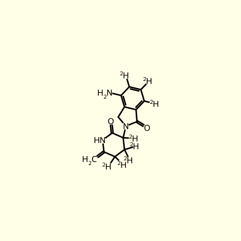 [2H]c1c([2H])c(N)c2c(c1[2H])C(=O)N(C1([2H])C(=O)NC(=C)C([2H])([2H])C1([2H])[2H])C2